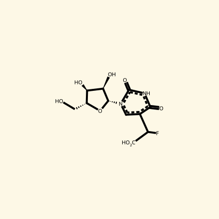 O=C(O)C(F)c1cn([C@@H]2O[C@H](CO)[C@@H](O)[C@H]2O)c(=O)[nH]c1=O